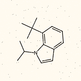 CC(C)n1ccc2cccc(C(C)(C)C)c21